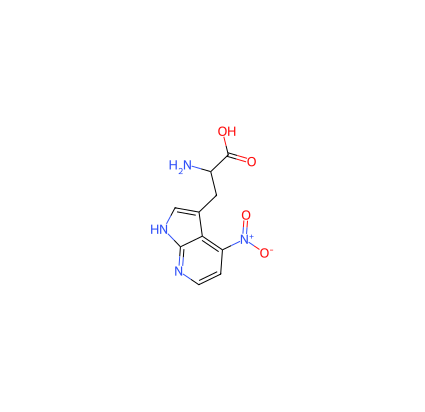 NC(Cc1c[nH]c2nccc([N+](=O)[O-])c12)C(=O)O